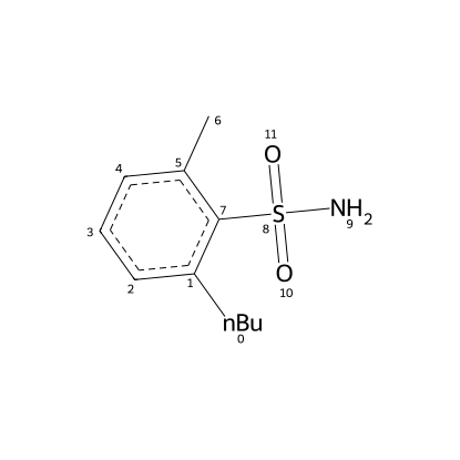 CCCCc1cccc(C)c1S(N)(=O)=O